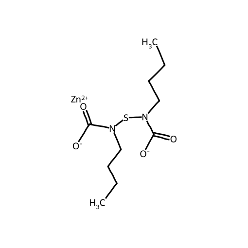 CCCCN(SN(CCCC)C(=O)[O-])C(=O)[O-].[Zn+2]